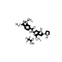 Cc1nc(NC(=O)c2ccc3c(C)nn(C)c3c2)cc2[nH]c([C@H]3CCCN3)cc12.O=C(O)C(F)(F)F